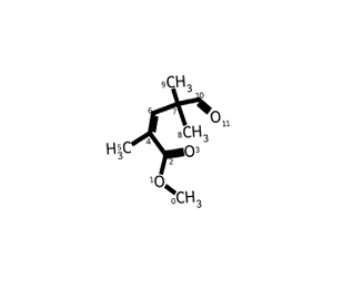 COC(=O)/C(C)=C\C(C)(C)C=O